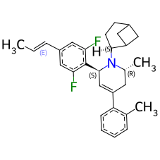 C/C=C/c1cc(F)c([C@@H]2C=C(c3ccccc3C)C[C@@H](C)N2[C@H]2CCC3CC2C3)c(F)c1